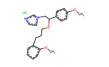 COc1ccc(C(Cn2ccnc2)OCCCc2ccccc2OC)cc1.Cl